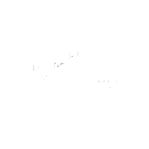 CCOc1cc2ccc(CC(=O)O)cc2c(C)n1